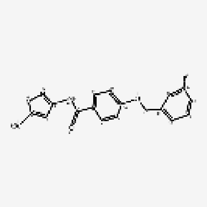 CC(C)(C)c1cc(NC(=O)c2ccc(OCc3cccc(F)c3)cc2)no1